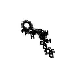 O=C(COc1ccc(Cl)c(F)c1)NC12CCC(C(=O)NCC3CC4(CCCCCCCCC4)C(C(F)(F)F)CN3)(CC1)[C@H](O)C2